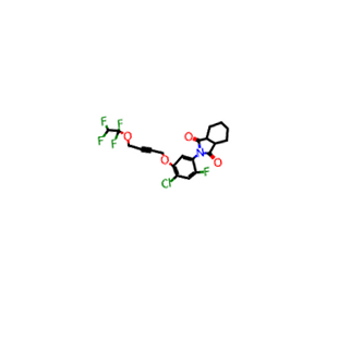 O=C1C2CCCCC2C(=O)N1c1cc(OCC#CCOC(F)(F)C(F)F)c(Cl)cc1F